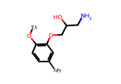 CCCc1ccc(OCC)c(OCC(O)CN)c1